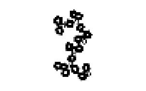 c1ccc2c(N(c3ccc(-c4cccc5oc6c(-c7cccc8c7c7ccccc7n8-c7ccc(N(c8ccc(-c9cccc%10oc%11ccccc%11c9%10)cc8)c8cc9ccccc9c9ccccc89)cc7)cccc6c45)cc3)c3ccc(-n4c5ccccc5c5ccccc54)cc3)cccc2c1